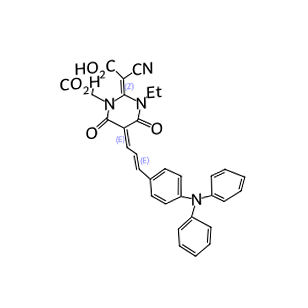 CCn1c(=O)/c(=C\C=C\c2ccc(N(c3ccccc3)c3ccccc3)cc2)c(=O)n(CC(=O)O)/c1=C(/C#N)C(=O)O